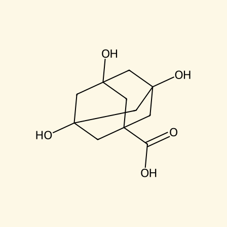 O=C(O)C12CC3(O)CC(O)(CC(O)(C3)C1)C2